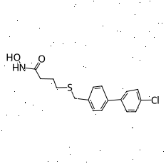 O=C(CCCSCc1ccc(-c2ccc(Cl)cc2)cc1)NO